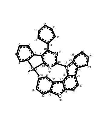 C[Si]1(C)c2ccccc2-c2c(-c3ccccc3)nc(-n3c4ccccc4c4ccc5oc6ccccc6c5c43)nc21